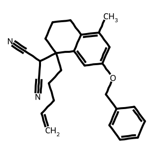 C=CCCCC1(C(C#N)C#N)CCCc2c(C)cc(OCc3ccccc3)cc21